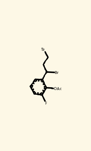 CC(=O)Oc1c(F)cccc1C(Br)CCBr